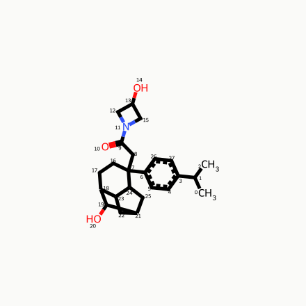 CC(C)c1ccc(C2(CC(=O)N3CC(O)C3)CCC3C(O)C4CC3C2C4)cc1